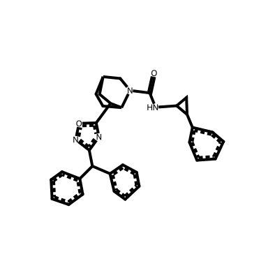 O=C(NC1CC1c1ccccc1)N1CC2CCC1C(c1nc(C(c3ccccc3)c3ccccc3)no1)C2